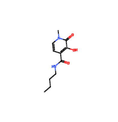 CCCCNC(=O)c1ccn(C)c(=O)c1O